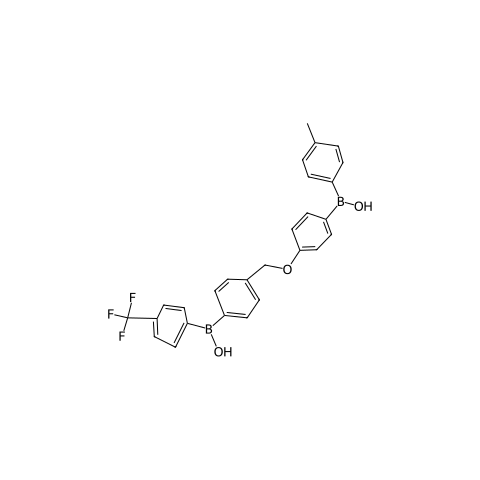 Cc1ccc(B(O)c2ccc(OCc3ccc(B(O)c4ccc(C(F)(F)F)cc4)cc3)cc2)cc1